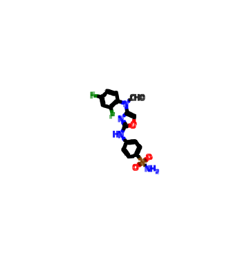 NS(=O)(=O)c1ccc(Nc2nc(N(C=O)c3ccc(F)cc3F)co2)cc1